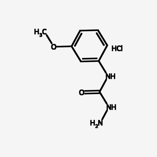 COc1cccc(NC(=O)NN)c1.Cl